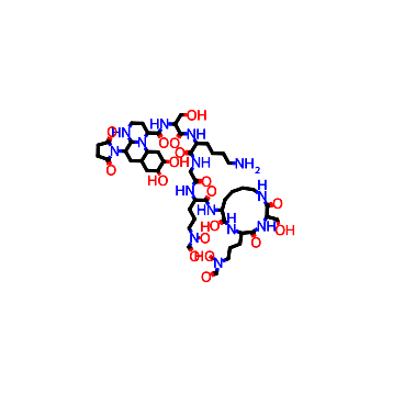 NCCCCC(NC(=O)C(CO)NC(=O)C1CCNC2C(N3C(=O)CCC3=O)CC3CC(O)C(O)CC3N12)C(=O)NCC(=O)NC(CCCN(O)C=O)C(=O)NC1CCCCNC(=O)C(CO)NC(=O)C(CCCN(O)C=O)NC1=O